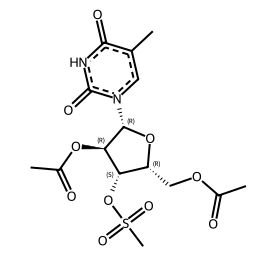 CC(=O)OC[C@H]1O[C@@H](n2cc(C)c(=O)[nH]c2=O)[C@H](OC(C)=O)[C@H]1OS(C)(=O)=O